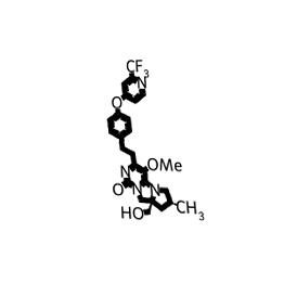 COc1c(CCc2ccc(Oc3ccnc(C(F)(F)F)c3)cc2)nc(=O)n2c1N1C[C@H](C)C[C@]1(CO)C2